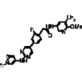 CCn1cc(Nc2ncc(-c3ccc(CC(=O)Nc4cnc(OC)c(C(F)(F)F)c4)c(F)c3)cn2)cn1